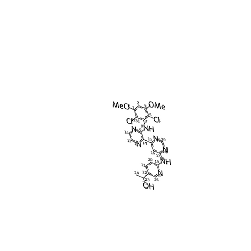 COc1cc(OC)c(Cl)c(Nc2nccnc2-c2cc(Nc3ccc(C(C)O)cn3)ncn2)c1Cl